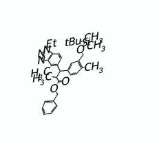 CCn1nnc2c(C)c(C(c3ccc(C)c(CO[Si](C)(C)C(C)(C)C)c3)C(C)C(=O)OCc3ccccc3)ccc21